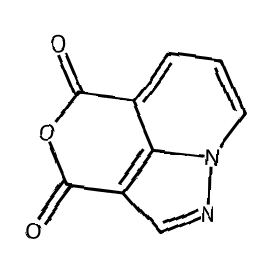 O=c1oc(=O)c2cnn3cccc1c23